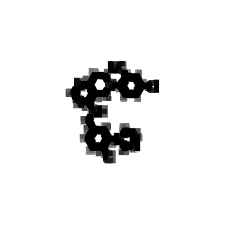 N#Cc1cc(Cl)ccc1N1CCc2ncnc(NCc3ccc(Cl)c(-n4cnnc4)c3)c2C1